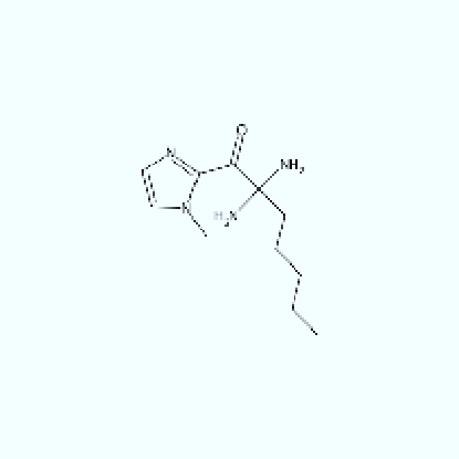 CCCCCC(N)(N)C(=O)c1nccn1C